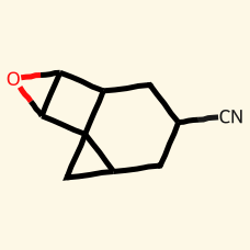 N#CC1CC2CC23C(C1)C1OC13